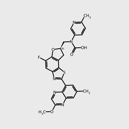 COc1cnc2c(-c3nc4cc(F)c5c(c4s3)C[C@H](CN(C(=O)O)c3ccc(C)nc3)O5)cc(C)cc2n1